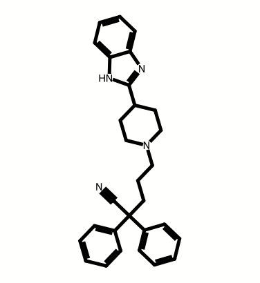 N#CC(CCCN1CCC(c2nc3ccccc3[nH]2)CC1)(c1ccccc1)c1ccccc1